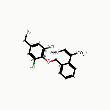 CO/C=C(/C(=O)O)c1ccccc1COc1c(Cl)cc(CC(C)C)cc1Cl